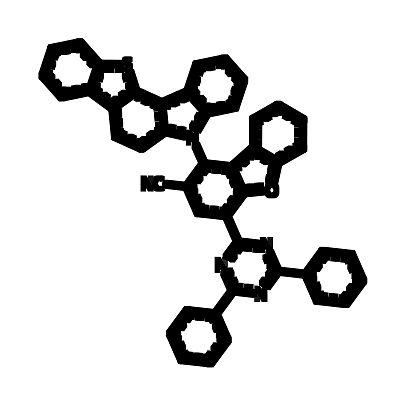 N#Cc1cc(-c2nc(-c3ccccc3)nc(-c3ccccc3)n2)c2oc3ccccc3c2c1-n1c2ccccc2c2c3sc4ccccc4c3ccc21